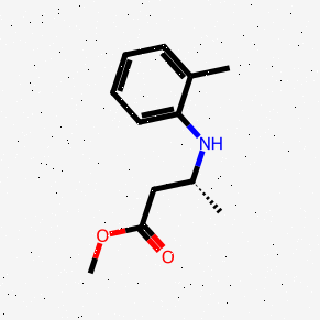 COC(=O)C[C@@H](C)Nc1ccccc1C